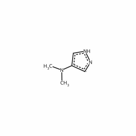 CN(C)c1[c]n[nH]c1